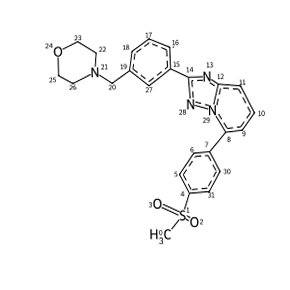 CS(=O)(=O)c1ccc(-c2cccc3nc(-c4[c]ccc(CN5CCOCC5)c4)nn23)cc1